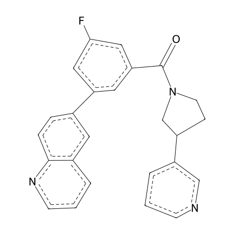 O=C(c1cc(F)cc(-c2ccc3ncccc3c2)c1)N1CCC(c2cccnc2)C1